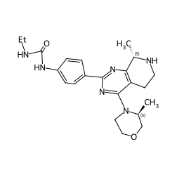 CCNC(=O)Nc1ccc(-c2nc3c(c(N4CCOC[C@@H]4C)n2)CCN[C@H]3C)cc1